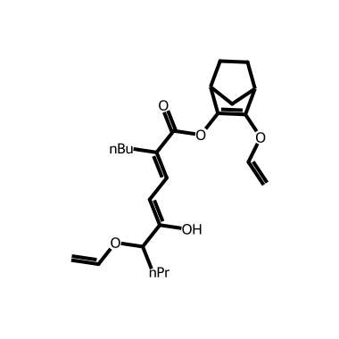 C=COC1=C(OC(=O)C(=CC=C(O)C(CCC)OC=C)CCCC)C2CCC1C2